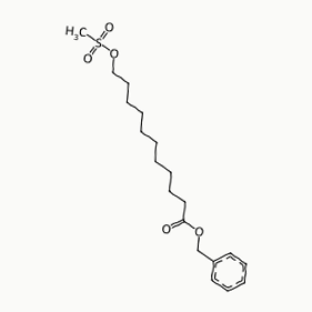 CS(=O)(=O)OCCCCCCCCCCC(=O)OCc1ccccc1